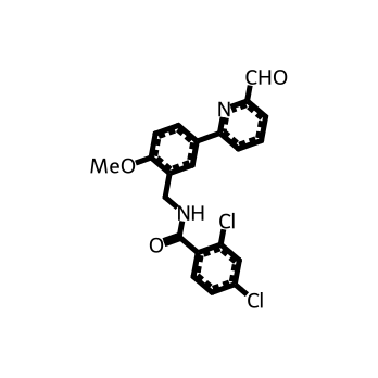 COc1ccc(-c2cccc(C=O)n2)cc1CNC(=O)c1ccc(Cl)cc1Cl